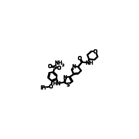 CC(C)Oc1ccc(S(N)(=O)=O)cc1Nc1nc(C2=CCC(C(=O)NC3CCOCC3)N=C2)cs1